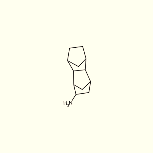 NC1CC2CC1C1C3CCC(C3)C21